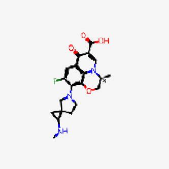 CNC1CC12CCN(c1c(F)cc3c(=O)c(C(=O)O)cn4c3c1OC[C@@H]4C)C2